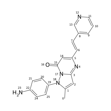 Cc1cc2nc(/C=C/c3cccnc3)cc(=O)n2n1-c1ccc(N)cc1